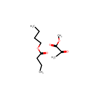 CCCCOC(=O)CCC.COC(=O)C(C)=O